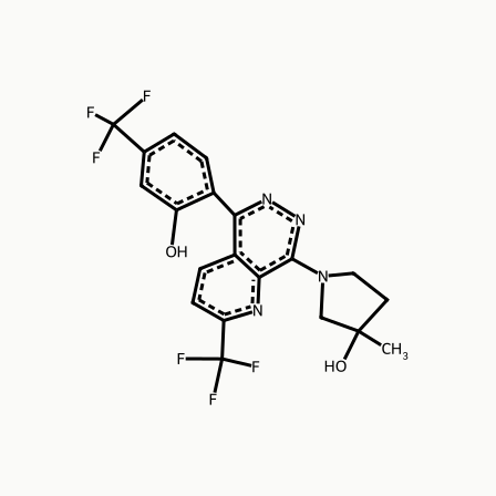 CC1(O)CCN(c2nnc(-c3ccc(C(F)(F)F)cc3O)c3ccc(C(F)(F)F)nc23)C1